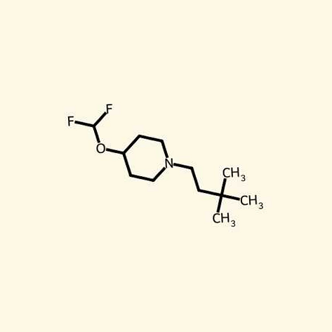 CC(C)(C)CCN1CCC(OC(F)F)CC1